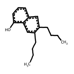 CCCCc1cc2cccc(O)c2cc1CCCC